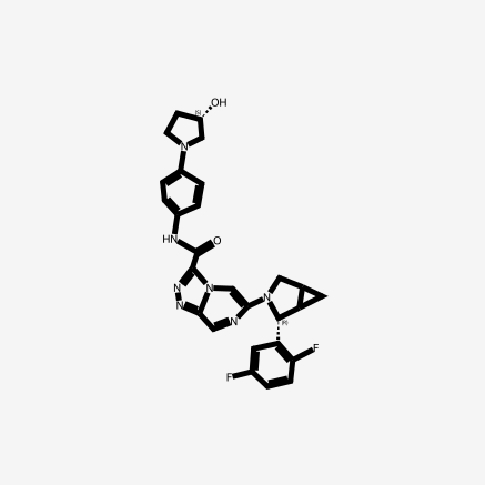 O=C(Nc1ccc(N2CC[C@H](O)C2)cc1)c1nnc2cnc(N3CC4CC4[C@@H]3c3cc(F)ccc3F)cn12